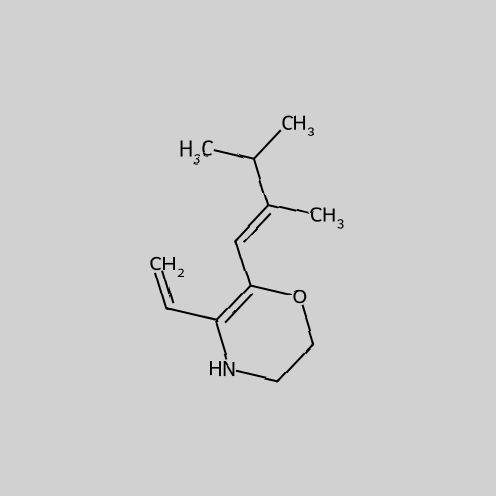 C=CC1=C(/C=C(\C)C(C)C)OCCN1